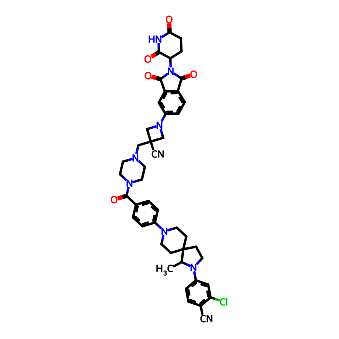 CC1N(c2ccc(C#N)c(Cl)c2)CCC12CCN(c1ccc(C(=O)N3CCN(CC4(C#N)CN(c5ccc6c(c5)C(=O)N(C5CCC(=O)NC5=O)C6=O)C4)CC3)cc1)CC2